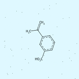 C=C(C)c1cccc(C(=O)O)c1